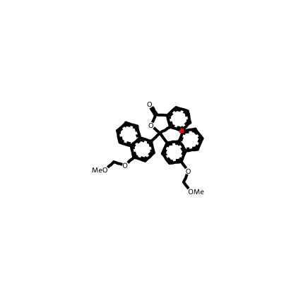 COCOc1ccc(C2(c3ccc(OCOC)c4ccccc34)OC(=O)c3ccccc32)c2ccccc12